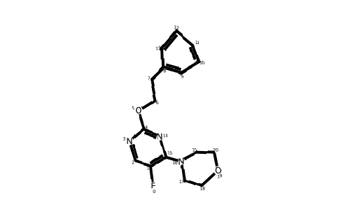 Fc1cnc(OCCc2ccccc2)nc1N1CCOCC1